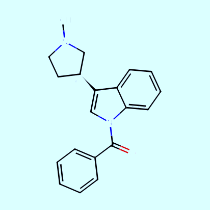 CN1CC[C@H](c2cn(C(=O)c3ccccc3)c3ccccc23)C1